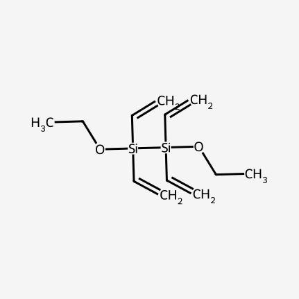 C=C[Si](C=C)(OCC)[Si](C=C)(C=C)OCC